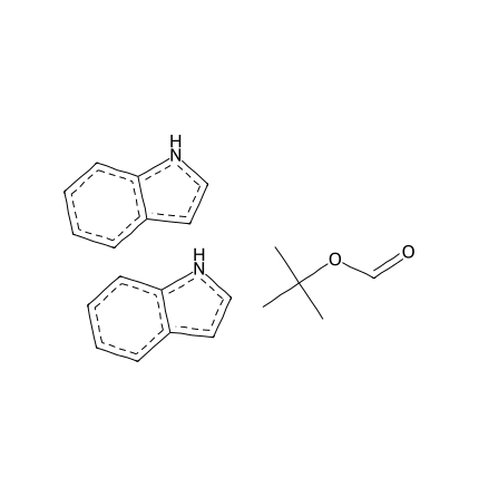 CC(C)(C)OC=O.c1ccc2[nH]ccc2c1.c1ccc2[nH]ccc2c1